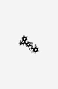 CC1(C)C=C(c2ccc(NC(=O)c3c(F)cccc3F)nc2)c2ccccc2O1